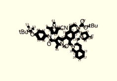 Cc1c(N(C(=O)c2cc(-c3cc4c(cc3C(=O)N3Cc5ccccc5C[C@H]3CN3CC[C@@H](F)C3)CN(C(=O)OC(C)(C)C)CC4)n(C)c2C)c2ccc(O[Si](C)(C)C(C)(C)C)cc2)cc(C#N)n1C